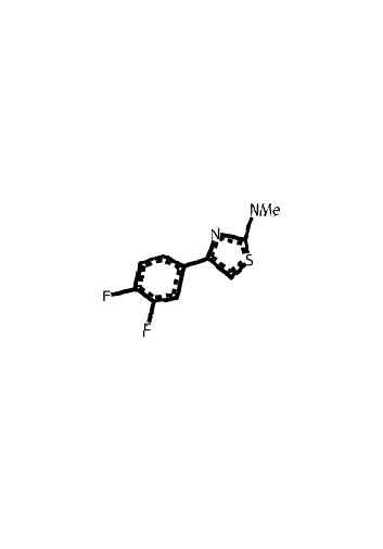 CNc1nc(-c2ccc(F)c(F)c2)cs1